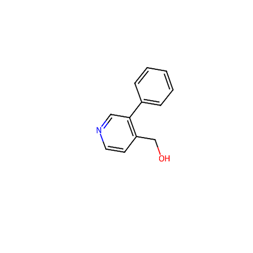 OCc1ccncc1-c1ccccc1